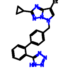 CCc1cn(Cc2ccc(-c3ccccc3-c3nnn[nH]3)cc2)n2nc(C3CC3)nc12